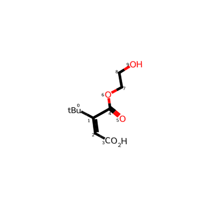 CC(C)(C)C(=CC(=O)O)C(=O)OCCO